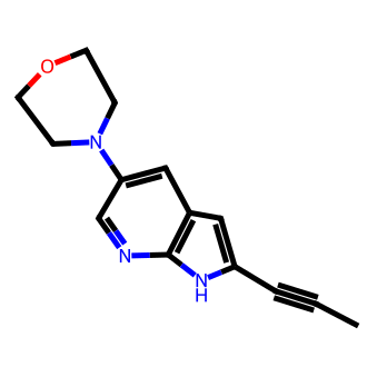 CC#Cc1cc2cc(N3CCOCC3)cnc2[nH]1